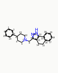 c1ccc(C2CCN(Cc3n[nH]c4c3CCc3ccccc3-4)CC2)cc1